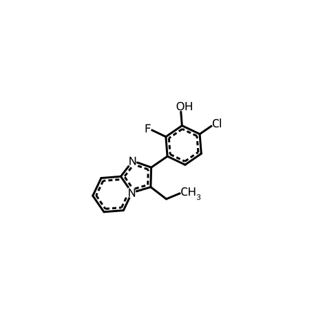 CCc1c(-c2ccc(Cl)c(O)c2F)nc2ccccn12